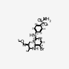 CO/N=C(\C)C(C)Nc1nc(Nc2ccc(S(N)(=O)=O)cc2)ncc1Br